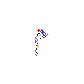 COc1ccc(CSC(C)(C)CCN2CCN(Cc3ccc(-n4c(O)nnc4-c4cc(C(C)C)ccc4O)cc3)CC2)cc1